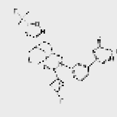 CC(C)(F)c1nc(C23CCCC(C2)C(CN(C(=O)C24CC(F)(C2)C4)c2cccc(-c4cn[nH]c(=O)c4)c2)CC3)no1